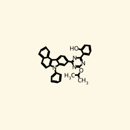 CC(C)Oc1nc(-c2ccc3c4c5ccccc5ccc4n(-c4ccccc4)c3c2)nc(-c2ccccc2O)n1